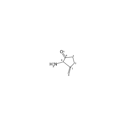 C=C1CCC(=O)C1N